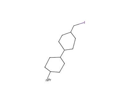 CCCC1CCC(C2CCC(CI)CC2)CC1